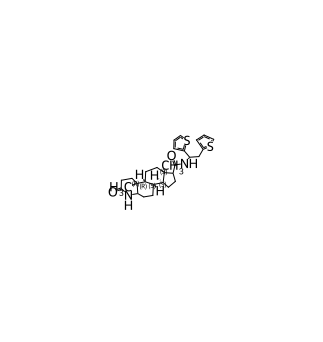 C[C@]12CCC(=O)NC1CC[C@@H]1[C@H]2CC[C@]2(C)C(C(=O)NC(Cc3cccs3)c3cccs3)CC[C@@H]12